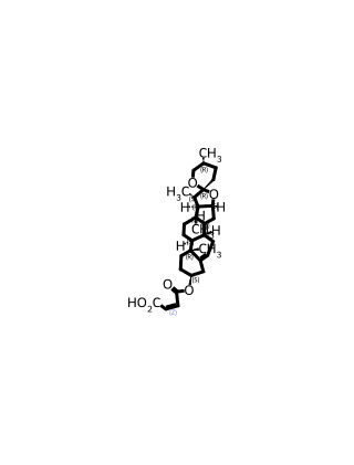 C[C@@H]1CC[C@@]2(OC1)O[C@H]1C[C@H]3[C@@H]4CC=C5C[C@@H](OC(=O)/C=C\C(=O)O)CC[C@]5(C)[C@H]4CC[C@]3(C)[C@H]1[C@@H]2C